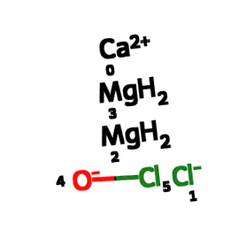 [Ca+2].[Cl-].[MgH2].[MgH2].[O-]Cl